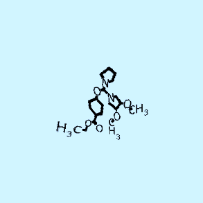 CCOC(=O)C1CCC(OC(N2CCCC2)N2C[C@@H](OC)[C@H](OC)C2)CC1